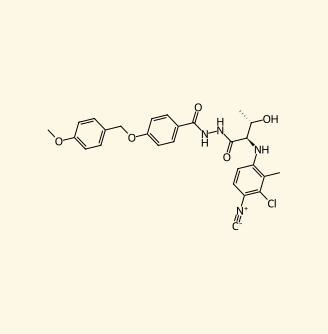 [C-]#[N+]c1ccc(N[C@@H](C(=O)NNC(=O)c2ccc(OCc3ccc(OC)cc3)cc2)[C@H](C)O)c(C)c1Cl